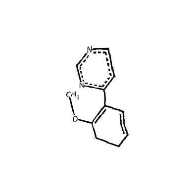 COC1=C(c2ccncn2)C=CC[CH]1